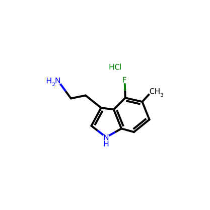 Cc1ccc2[nH]cc(CCN)c2c1F.Cl